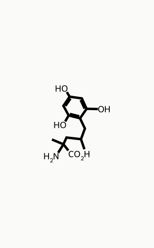 CC(Cc1c(O)cc(O)cc1O)CC(C)(N)C(=O)O